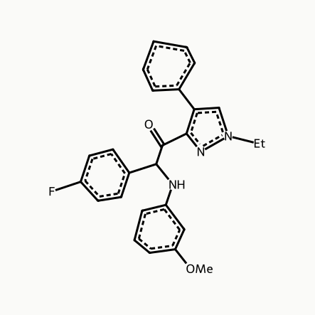 CCn1cc(-c2ccccc2)c(C(=O)C(Nc2cccc(OC)c2)c2ccc(F)cc2)n1